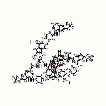 Cc1c(CN2CCC(Nc3nc(C4CC4NC45CC(Cn6c(C#N)cc7c(C)c(CN8CCC(Nc9ncnc%10sc(CC(F)(F)F)cc9%10)CC8)ccc76)(C4)C5)nc4sc(CC(F)(F)F)cc34)CC2)ccc2c1cc(C#N)n2CC12CC(Nc3cnc(-c4nc(NC5CCN(Cc6ccc7c(cc(C#N)n7CC78CC(NC9CCOCC9)([C@H]7C)[C@H]8C)c6C)CC5)c5cc(CC(F)(F)F)sc5n4)cn3)(C1)C2